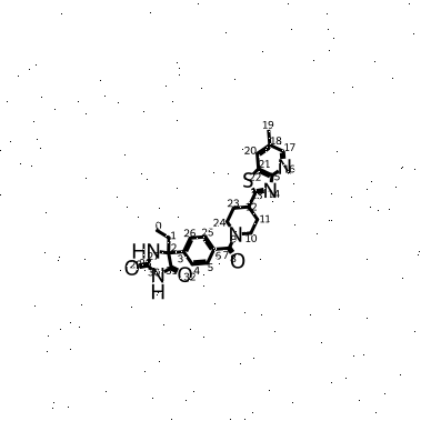 CCC1(c2ccc(C(=O)N3CCC(c4nc5ncc(C)cc5s4)CC3)cc2)NC(=O)NC1=O